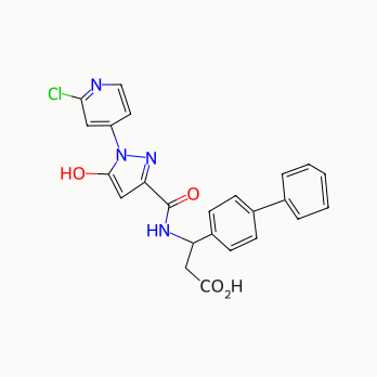 O=C(O)CC(NC(=O)c1cc(O)n(-c2ccnc(Cl)c2)n1)c1ccc(-c2ccccc2)cc1